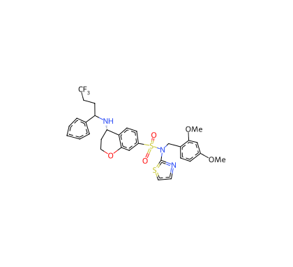 COc1ccc(CN(c2nccs2)S(=O)(=O)c2ccc3c(c2)OCC[C@@H]3NC(CCC(F)(F)F)c2ccccc2)c(OC)c1